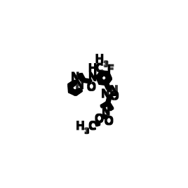 CCOC(=O)N1CC(c2nc(-c3cc(F)c(C)c(NC(=O)c4cnc5ccccn45)c3)no2)C1